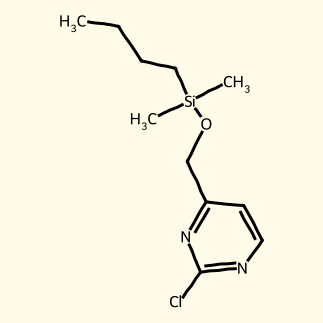 CCCC[Si](C)(C)OCc1ccnc(Cl)n1